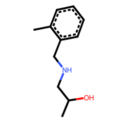 Cc1ccccc1CNCC(C)O